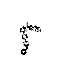 C[C@@H](O)Cn1cc(Nc2ncnc(N3CCN(c4ncc(Cc5ccccc5)cn4)CC3)n2)cn1